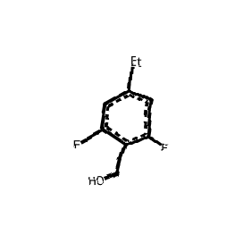 [CH2]Cc1cc(F)c(CO)c(F)c1